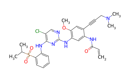 C=CC(=O)Nc1cc(Nc2ncc(Cl)c(Nc3ccccc3S(=O)(=O)C(C)C)n2)c(OC)cc1C#CCN(C)C